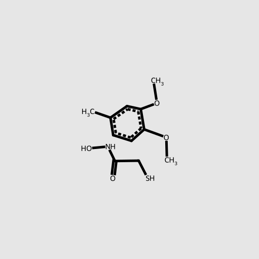 COc1ccc(C)cc1OC.O=C(CS)NO